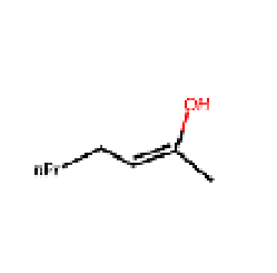 CCCCC=C(C)O